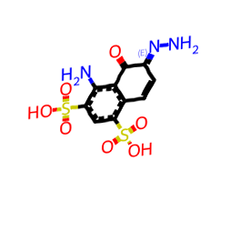 N/N=C1\C=Cc2c(S(=O)(=O)O)cc(S(=O)(=O)O)c(N)c2C1=O